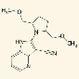 COCC1CCC(COC)N1c1[nH]c2cccnc2c1C#N